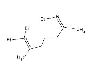 CC/N=C(/C)CCCC(C)=C(CC)CC